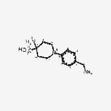 NCc1ccc(N2CCC(N)(C(=O)O)CC2)cc1